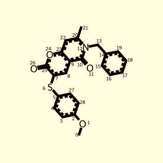 COc1ccc(Sc2cc3c(=O)n(Cc4ccccc4)c(C)cc3oc2=O)cc1